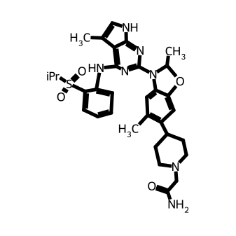 Cc1cc2c(cc1C1CCN(CC(N)=O)CC1)OC(C)N2c1nc(Nc2ccccc2S(=O)(=O)C(C)C)c2c(C)c[nH]c2n1